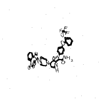 NC(=O)c1c2c(nn1-c1ccc(Oc3ccccc3OC(F)(F)F)cc1)[C@@H](N1CCN(S(=O)(=O)c3ccccc3[N+](=O)[O-])CC1)CCN2